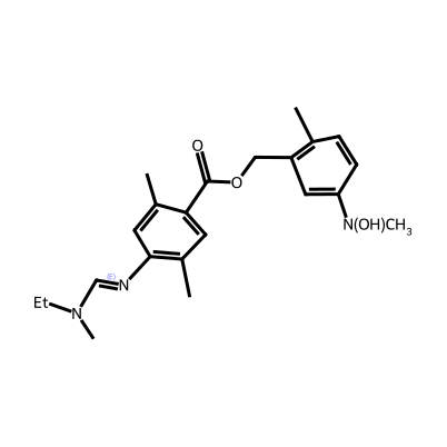 CCN(C)/C=N/c1cc(C)c(C(=O)OCc2cc(N(C)O)ccc2C)cc1C